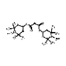 CON1C(C)(C)CC(OC(=O)CC(=O)OC2CC(C)(C)N(OC)C(C)(C)C2)CC1(C)C